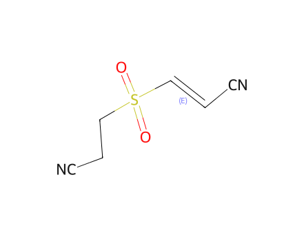 N#C/C=C/S(=O)(=O)CCC#N